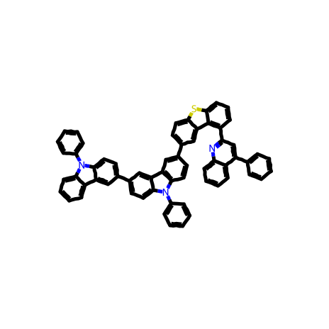 c1ccc(-c2cc(-c3cccc4sc5ccc(-c6ccc7c(c6)c6cc(-c8ccc9c(c8)c8ccccc8n9-c8ccccc8)ccc6n7-c6ccccc6)cc5c34)nc3ccccc23)cc1